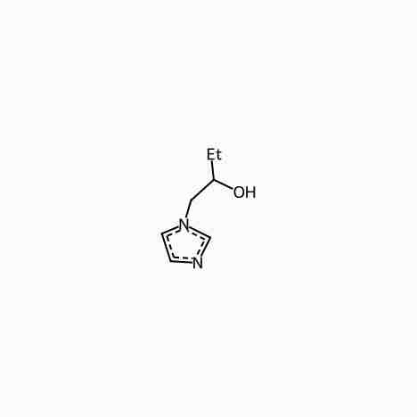 CCC(O)Cn1ccnc1